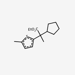 CCOC(=O)C(C)(c1ccc(C)s1)C1CCCC1